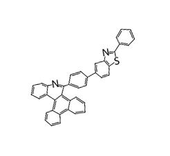 c1ccc(-c2nc3cc(-c4ccc(-c5nc6ccccc6c6c7ccccc7c7ccccc7c56)cc4)ccc3s2)cc1